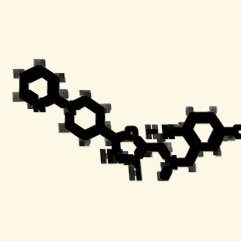 CN(Cc1cc(Cl)ccc1N)CC1NNC(C2CCN(c3ccccn3)CC2)O1